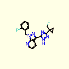 FCC1(c2n[nH]c(-c3nn(Cc4ccccc4F)c4ncccc34)n2)CC1